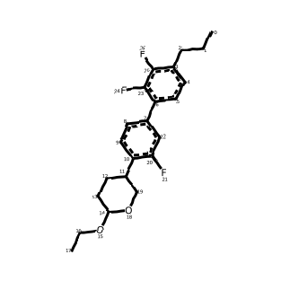 CCCc1ccc(-c2ccc(C3CCC(OCC)OC3)c(F)c2)c(F)c1F